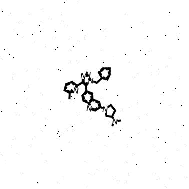 Cc1cccc(-c2nnn(Cc3ccccc3)c2-c2ccc3ncc(N4CCC(N(C)C)C4)cc3c2)n1